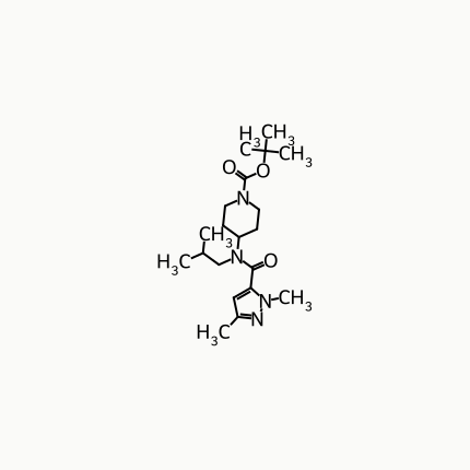 Cc1cc(C(=O)N(CC(C)C)C2CCN(C(=O)OC(C)(C)C)CC2)n(C)n1